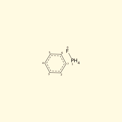 F[PH4].c1ccccc1